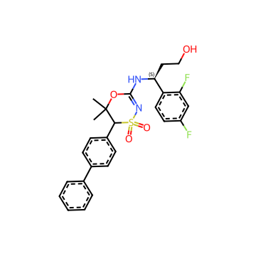 CC1(C)OC(N[C@@H](CCO)c2ccc(F)cc2F)=NS(=O)(=O)C1c1ccc(-c2ccccc2)cc1